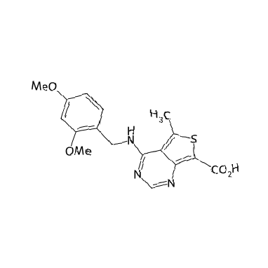 COc1ccc(CNc2ncnc3c(C(=O)O)sc(C)c23)c(OC)c1